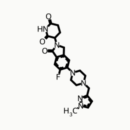 Cn1ccc(CN2CCN(c3cc4c(cc3F)C(=O)N(C3CCC(=O)NC3=O)C4)CC2)n1